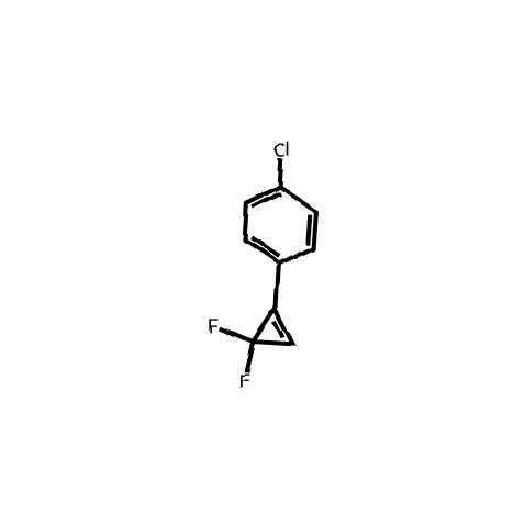 FC1(F)C=C1c1ccc(Cl)cc1